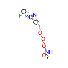 C=CC(=O)NCCOCCOCCOCCCc1ccc([C@H]2CN(Cc3c(C)cccc3F)C[C@@H]2N(C)C)cc1